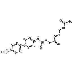 CCC(C)C(=O)OCCOC(=O)CCC(=O)Oc1ccc(-c2ccc(C(=O)O)cc2)cc1